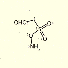 NOS(=O)(=O)CC=O